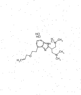 C=CCOCCc1cccc2[nH]c(C(CN(C)C)CN(C)C)nc12.Cl.Cl